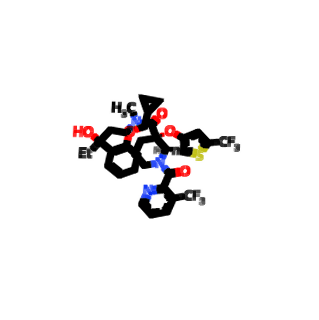 CCC[C@H]1N(C(=O)c2ncccc2C(F)(F)F)CCC[C@@]1(Oc1csc(C(F)(F)F)c1)C(=O)N(C)CCC(O)(CC)C1=C(OCC2CC2)CCC=C1